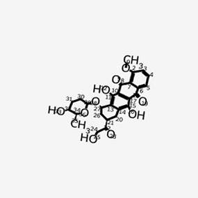 COc1cccc2c1C(=O)c1c(O)c3c(c(O)c1C2=O)C[C@@H](C(=O)CO)C[C@@H]3OC1CC[C@H](O)[C@H](C)O1